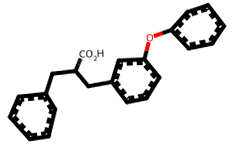 O=C(O)C(Cc1ccccc1)Cc1cccc(Oc2ccccc2)c1